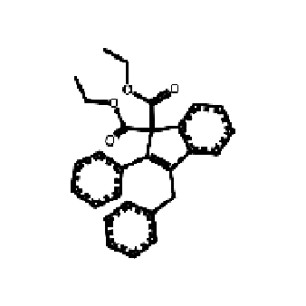 CCOC(=O)C1(C(=O)OCC)C(c2ccccc2)=C(Cc2ccccc2)c2ccccc21